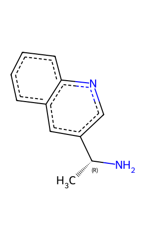 C[C@@H](N)c1cnc2ccccc2c1